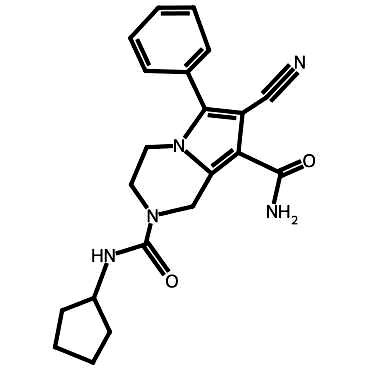 N#Cc1c(C(N)=O)c2n(c1-c1ccccc1)CCN(C(=O)NC1CCCC1)C2